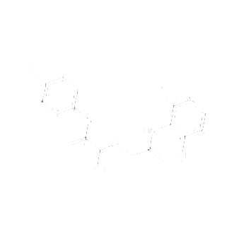 C=C(CCC(C)C(=O)Nc1ccc(F)cc1)Nc1c(C(F)(F)F)ccnc1F